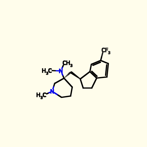 CN1CCC[C@](C[C@@H]2CCc3ccc(C(F)(F)F)cc32)(N(C)C)C1